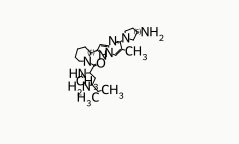 CNC(CC(N)C(C)C)C(=O)N1CCCC[C@H]1c1cc2nc(N3CC[C@H](N)C3)c(C)cn2n1